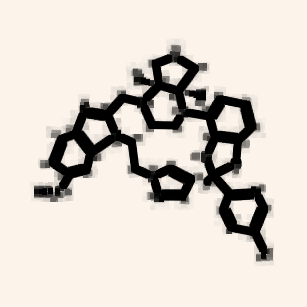 C[C@]1(c2ccc(Cl)cn2)Oc2cccc(N3CCN(Cc4nc5ccc(C(=O)O)cc5n4CCn4cccn4)[C@H]4COC[C@H]43)c2O1